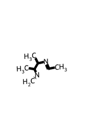 C=NC(C)C(C)/N=C/C